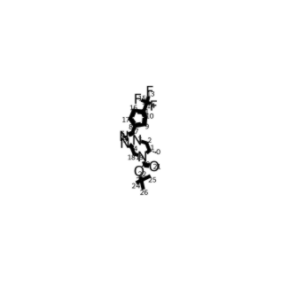 C[C@H]1Cn2c(nnc2-c2ccc(C(F)(F)F)cc2)CN1C(=O)OC(C)(C)C